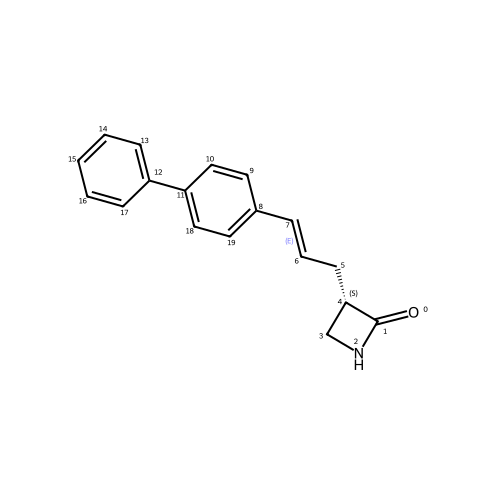 O=C1NC[C@@H]1C/C=C/c1ccc(-c2ccccc2)cc1